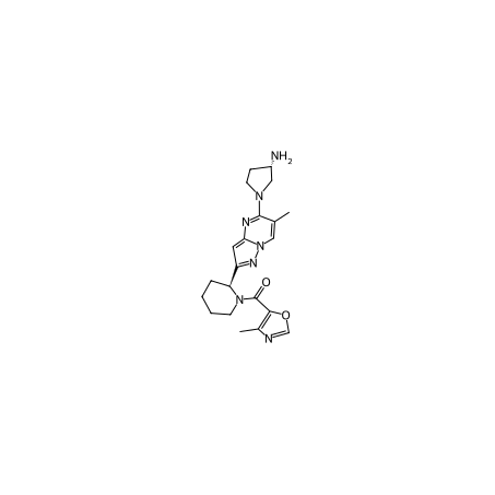 Cc1cn2nc([C@@H]3CCCCN3C(=O)c3ocnc3C)cc2nc1N1CC[C@H](N)C1